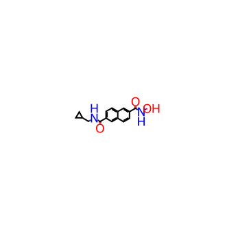 O=C(NO)c1ccc2cc(C(=O)NCC3CC3)ccc2c1